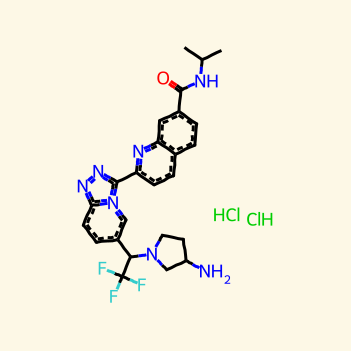 CC(C)NC(=O)c1ccc2ccc(-c3nnc4ccc(C(N5CCC(N)C5)C(F)(F)F)cn34)nc2c1.Cl.Cl